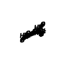 COc1ccc2c(c1)CCN(C1CCN(C(=O)Cn3cc(-c4cccc(F)c4Cl)c(=O)n([C@@H](C)CNC4(C)COC4)c3=O)CC1)C(=O)N2